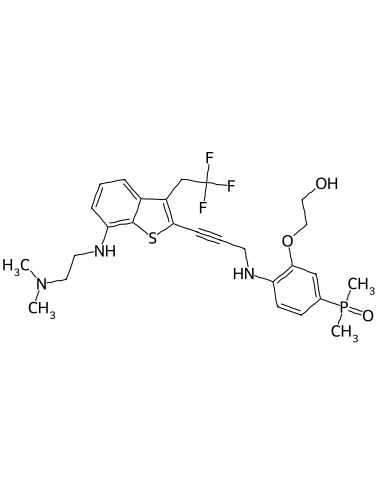 CN(C)CCNc1cccc2c(CC(F)(F)F)c(C#CCNc3ccc(P(C)(C)=O)cc3OCCO)sc12